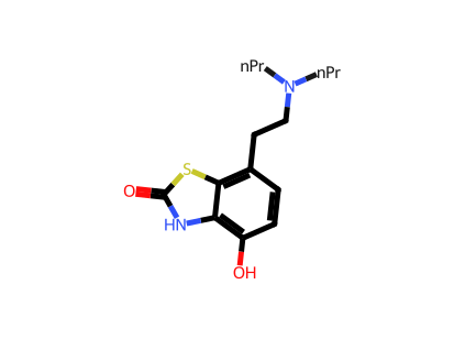 CCCN(CCC)CCc1ccc(O)c2[nH]c(=O)sc12